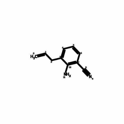 C=CCc1cccc(C#N)c1N